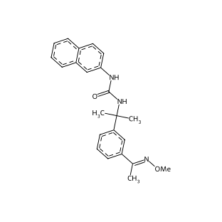 CON=C(C)c1cccc(C(C)(C)NC(=O)Nc2ccc3ccccc3c2)c1